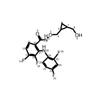 O=C(NOCC1CC1CO)c1ccc(F)c(F)c1Nc1ccc(F)cc1F